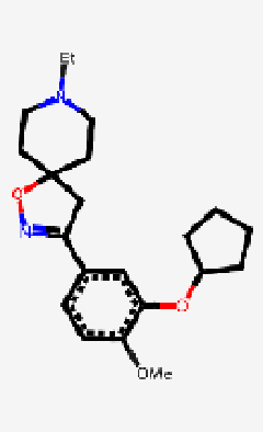 CCN1CCC2(CC1)CC(c1ccc(OC)c(OC3CCCC3)c1)=NO2